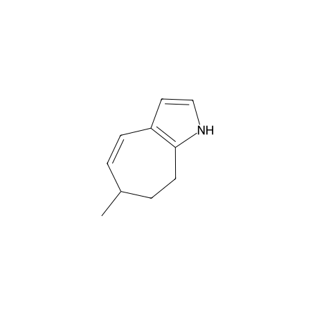 CC1C=Cc2cc[nH]c2CC1